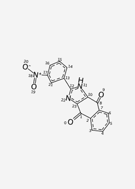 O=C1c2ccccc2C(=O)c2[nH]c(-c3cccc([N+](=O)[O-])c3)nc21